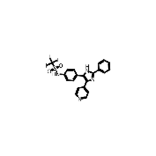 O=S(=O)(Nc1ccc(-c2[nH]c(-c3ccccc3)nc2-c2ccncc2)cc1)C(I)(I)I